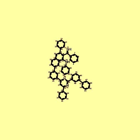 N=C(c1ccccc1)c1c(-c2ccccc2)cc2ccc(-c3cccc(-c4cc(-c5ccccc5)nc(-c5cccc(-c6ccccc6)c5)n4)c3)cc2c1Nc1ccccc1